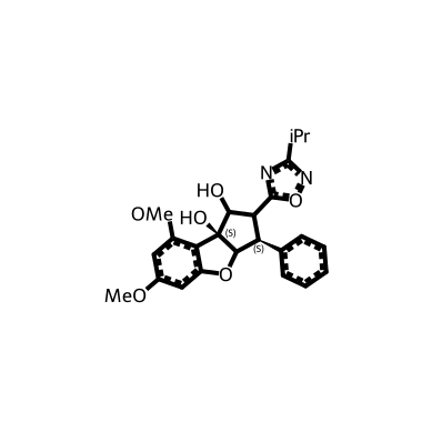 COc1cc(OC)c2c(c1)OC1[C@H](c3ccccc3)C(c3nc(C(C)C)no3)C(O)[C@@]21O